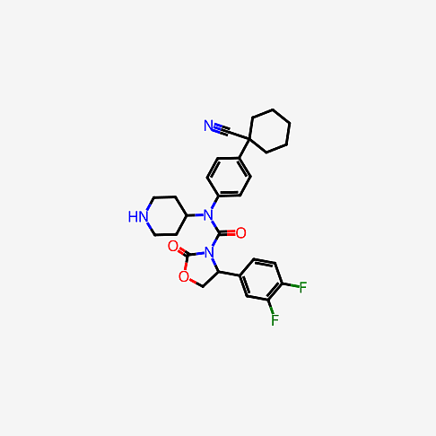 N#CC1(c2ccc(N(C(=O)N3C(=O)OCC3c3ccc(F)c(F)c3)C3CCNCC3)cc2)CCCCC1